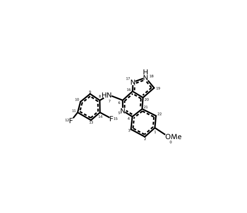 COc1ccc2nc(Nc3ccc(F)cc3F)c3n[nH]cc3c2c1